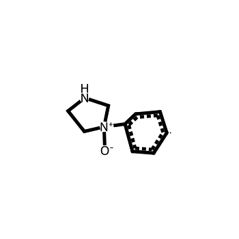 [O-][N+]1(c2cc[c]cc2)CCNC1